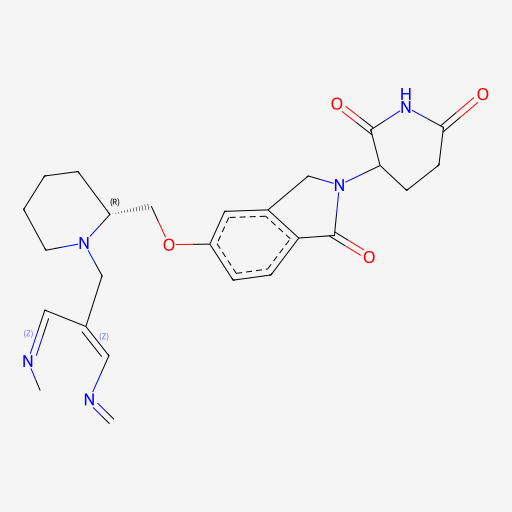 C=N/C=C(\C=N/C)CN1CCCC[C@@H]1COc1ccc2c(c1)CN(C1CCC(=O)NC1=O)C2=O